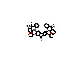 CC1(C)c2ccccc2N(c2cc3c(cc2-c2ccncc2)C(=O)c2cc(-c4ccncc4)c(N4c5ccccc5C(C)(C)c5ccccc54)cc2-3)c2ccccc21